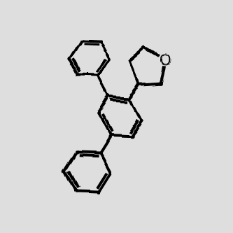 c1ccc(-c2ccc(C3CCOC3)c(-c3ccccc3)c2)cc1